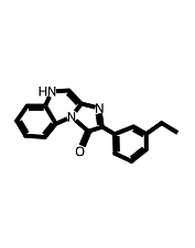 CCc1cccc(-c2nc3c[nH]c4ccccc4n-3c2=O)c1